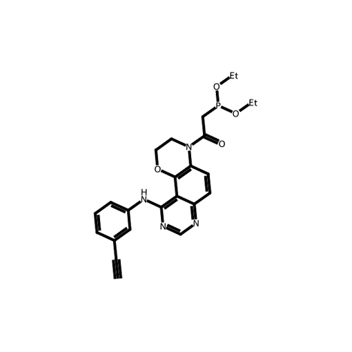 C#Cc1cccc(Nc2ncnc3ccc4c(c23)OCCN4C(=O)CP(OCC)OCC)c1